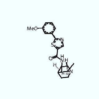 COc1cccc(-c2ncc(C(=O)N[C@@H]3C4CCN(CC4)[C@H]3C)s2)c1